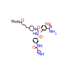 CNC(=O)CCCC1CCN(C(=O)[C@H](Cc2cccc(/C(N)=N\O)c2)N[S+]([O-])c2cccc(NC(=O)C3CNC3)c2)CC1